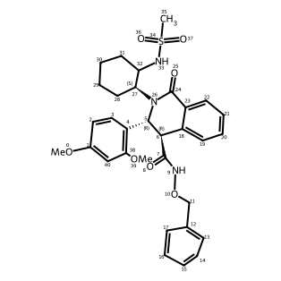 COc1ccc([C@H]2[C@H](C(=O)NOCc3ccccc3)c3ccccc3C(=O)N2[C@H]2CCCCC2NS(C)(=O)=O)c(OC)c1